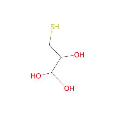 OC(O)C(O)CS